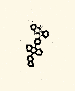 O=c1c2ccccc2nc2n(-c3ccc(-c4c5ccccc5c(-c5ccc6ccccc6c5)c5ccccc45)cc3)c3ccccc3n12